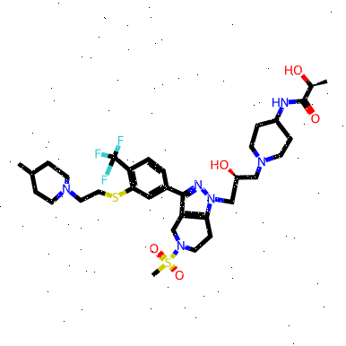 CC1CCN(CCSc2cc(-c3nn(C[C@@H](O)CN4CCC(NC(=O)[C@H](C)O)CC4)c4c3CN(S(C)(=O)=O)CC4)ccc2C(F)(F)F)CC1